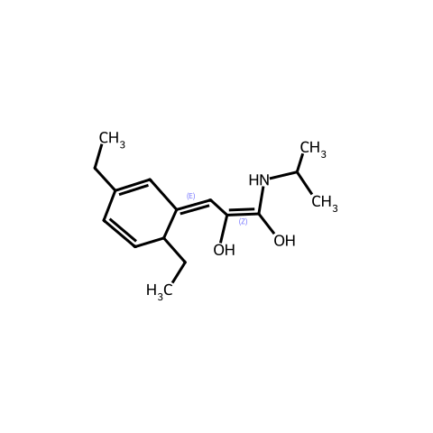 CCC1=C/C(=C/C(O)=C(/O)NC(C)C)C(CC)C=C1